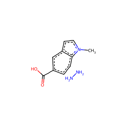 Cn1ccc2cc(C(=O)O)ccc21.NN